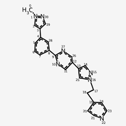 Cn1cc(-c2cccc(-c3ncc(-c4cnn(CCc5ccncc5)c4)cn3)c2)cn1